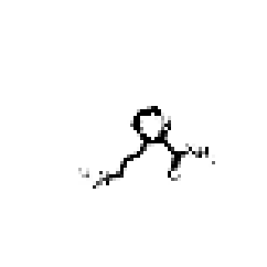 NCCCc1cccnc1C(N)=O